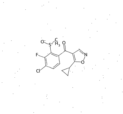 C[S+]([O-])c1c(C(=O)c2cnoc2C2CC2)ccc(Cl)c1F